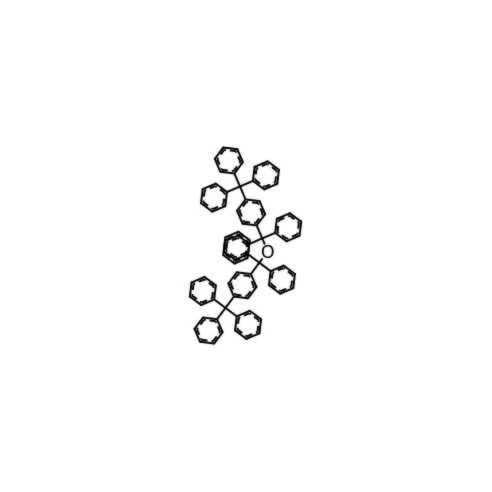 c1ccc(C(OC(c2ccccc2)(c2ccccc2)c2ccc(C(c3ccccc3)(c3ccccc3)c3ccccc3)cc2)(c2ccccc2)c2ccc(C(c3ccccc3)(c3ccccc3)c3ccccc3)cc2)cc1